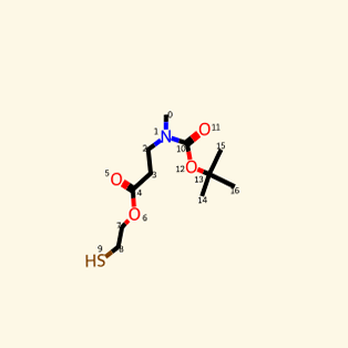 CN(CCC(=O)OCCS)C(=O)OC(C)(C)C